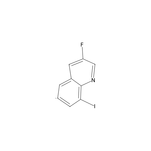 Fc1cnc2c(I)c[c]cc2c1